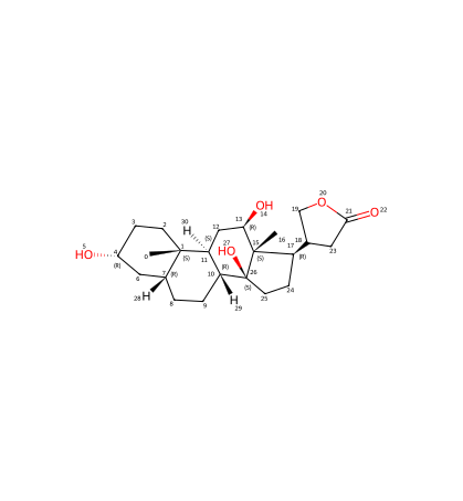 C[C@]12CC[C@@H](O)C[C@H]1CC[C@@H]1[C@@H]2C[C@@H](O)[C@]2(C)[C@@H](C3COC(=O)C3)CC[C@]12O